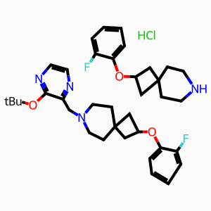 CC(C)(C)Oc1nccnc1CN1CCC2(CC1)CC(Oc1ccccc1F)C2.Cl.Fc1ccccc1OC1CC2(CCNCC2)C1